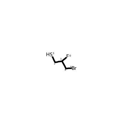 FC(CS)CBr